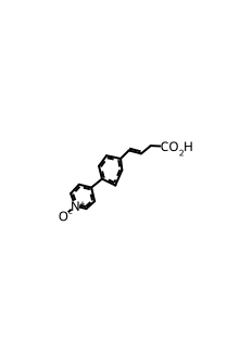 O=C(O)C/C=C/c1ccc(-c2cc[n+]([O-])cc2)cc1